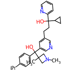 CC(C)c1ccc(C(O)(c2cncc(CCC(O)(c3ccccn3)C3CC3)c2)C2(C)CN(C)C2)cc1